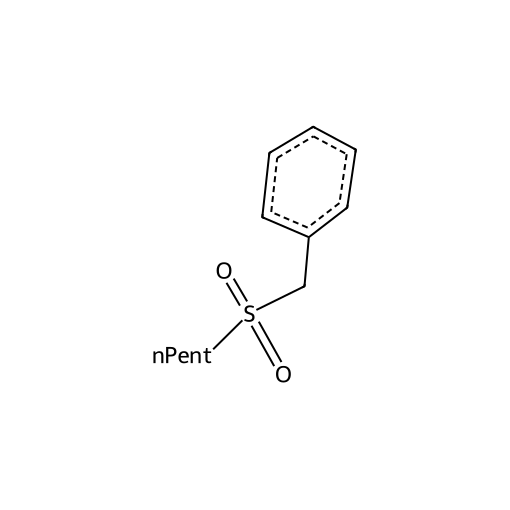 CCCCCS(=O)(=O)Cc1ccccc1